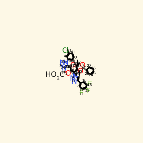 O=C(O)CO[C@@H]1[C@@H](n2cc(-c3cc(F)c(F)c(F)c3)nn2)[C@H]2O[C@@H](c3ccccc3)OC[C@H]2O[C@H]1c1ncnn1-c1cccc(Cl)c1